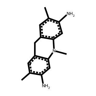 Cc1cc2c(cc1N)N(C)c1cc(N)c(C)cc1C2